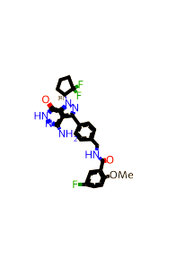 COc1ccc(F)cc1C(=O)NCc1ccc(-c2nn([C@@H]3CCCC3(F)F)c3c(=O)[nH]nc(N)c23)cc1